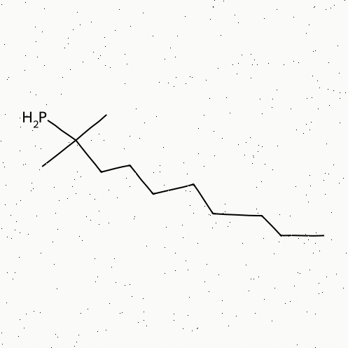 CCCCCCCCC(C)(C)P